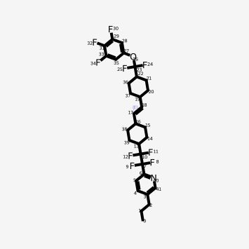 CCCc1ccc(C(F)(F)C(F)(F)C2CCC(/C=C/C3CCC(C(F)(F)Oc4cc(F)c(F)c(F)c4)CC3)CC2)nc1